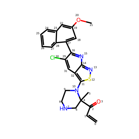 C=CC(=O)C1(C)CNCCN1c1snc2nc(-c3cc(OC)cc4ccccc34)c(Cl)cc12